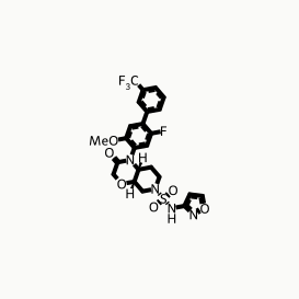 COc1cc(-c2cccc(C(F)(F)F)c2)c(F)cc1N1C(=O)CO[C@H]2CN(S(=O)(=O)Nc3ccon3)CC[C@H]21